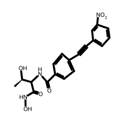 C[C@@H](O)C(NC(=O)c1ccc(C#Cc2cccc([N+](=O)[O-])c2)cc1)C(=O)NO